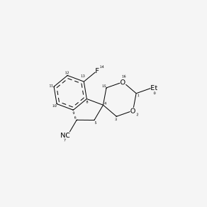 CCC1OCC(CCC#N)(c2ccccc2F)CO1